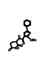 COc1sc(-c2ccccc2)cc1C(=O)NC1CCC(=O)NC1=O